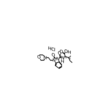 CC[C@H](C)[C@H](NC(=O)n1c(=O)n(CCN2CCOCC2)c2ccccc21)C(=O)O.Cl